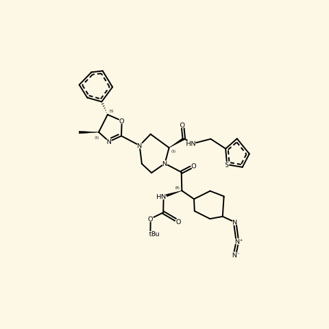 C[C@@H]1N=C(N2CCN(C(=O)[C@H](NC(=O)OC(C)(C)C)C3CCC(N=[N+]=[N-])CC3)[C@H](C(=O)NCc3cccs3)C2)O[C@H]1c1ccccc1